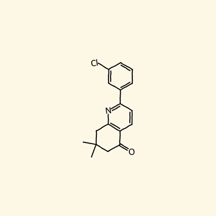 CC1(C)CC(=O)c2ccc(-c3cccc(Cl)c3)nc2C1